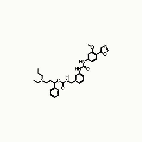 CCCN(CC)CCC(OC(=O)NCc1cccc(NC(=O)Nc2ccc(-c3cnco3)c(OC)c2)c1)c1ccccc1